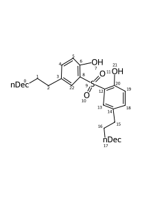 CCCCCCCCCCCCc1ccc(O)c(S(=O)(=O)c2cc(CCCCCCCCCCCC)ccc2O)c1